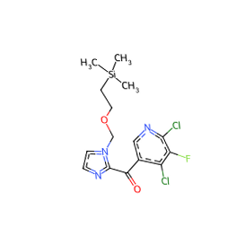 C[Si](C)(C)CCOCn1ccnc1C(=O)c1cnc(Cl)c(F)c1Cl